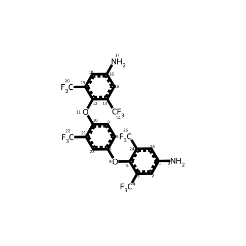 Nc1cc(C(F)(F)F)c(Oc2ccc(Oc3c(C(F)(F)F)cc(N)cc3C(F)(F)F)c(C(F)(F)F)c2)c(C(F)(F)F)c1